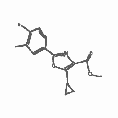 COC(=O)c1nc(-c2ccc(F)c(C)c2)oc1C1CC1